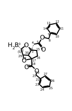 B[C@@H]1O[C@@]2(CC(=O)OCc3ccccc3)CCC3(C(=O)OCc4ccccc4)OC1C32